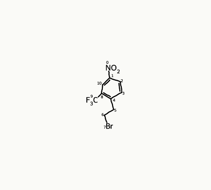 O=[N+]([O-])c1ccc(CCBr)c(C(F)(F)F)c1